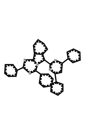 c1ccc(-c2cc(-c3ccccc3)nc(-c3c4ccccc4c4nc(-c5ccccc5)nc(-c5ccccc5)n34)n2)cc1